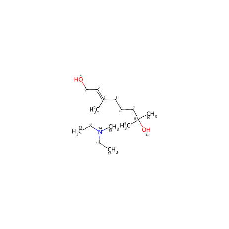 C/C(=C\CO)CCCC(C)(C)O.CCN(C)CC